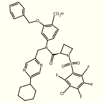 O=C(O)c1ccc(N(Cc2cnc(C3CCCCC3)cn2)C(=O)[C@H]2CCN2S(=O)(=O)c2c(F)c(F)c(F)c(Cl)c2F)cc1OCc1ccccc1